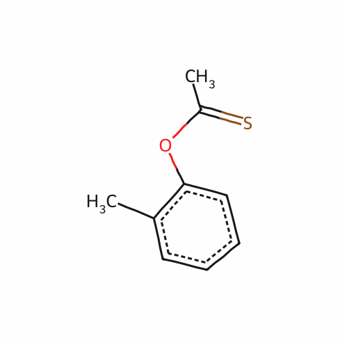 CC(=S)Oc1ccccc1C